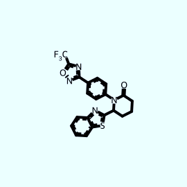 O=C1CCCC(c2nc3ccccc3s2)N1c1ccc(-c2noc(C(F)(F)F)n2)cc1